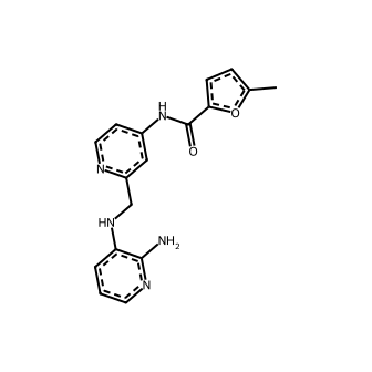 Cc1ccc(C(=O)Nc2ccnc(CNc3cccnc3N)c2)o1